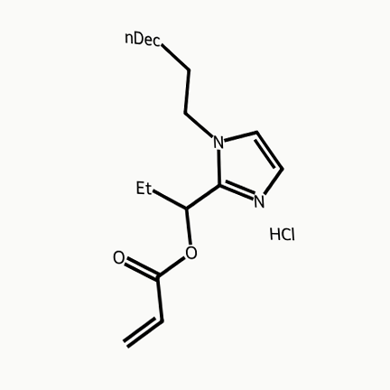 C=CC(=O)OC(CC)c1nccn1CCCCCCCCCCCC.Cl